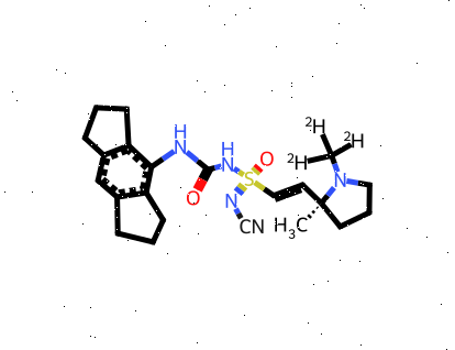 [2H]C([2H])([2H])N1CCC[C@@]1(C)/C=C/S(=O)(=NC#N)NC(=O)Nc1c2c(cc3c1CCC3)CCC2